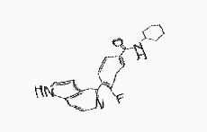 O=C(NC1CCCCC1)c1ccc(-c2nccc3[nH]ccc23)c(F)c1